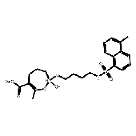 COC(=O)C1=C(C)O[PH](O)(OCCCCNS(=O)(=O)c2cccc3c(C)cccc23)CCC1